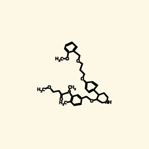 COCCC(=O)N(C)c1cc(COC2CNCCC2c2ccc(OCCCOCc3ccccc3OC)cc2)ccc1C